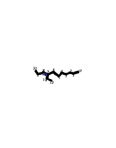 C=CCCCCC/C(=C/CC)CC